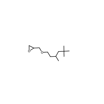 CC(CCOCC1CO1)CC(C)(C)C